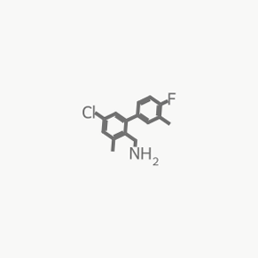 Cc1cc(-c2cc(Cl)cc(C)c2CN)ccc1F